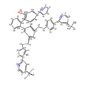 CC(C)(C)c1ccnc(-c2ccc(CCc3cc(CCc4ccc(-c5cc(C(C)(C)C)ccn5)cc4)cc(-c4ccccc4-c4ccc(-c5ccccn5)cc4O)c3)cc2)c1